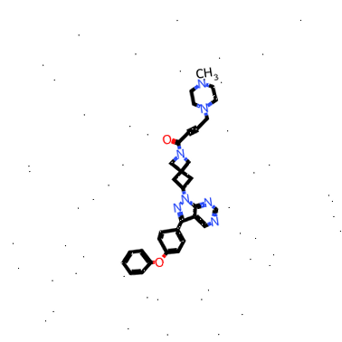 CN1CCN(CC#CC(=O)N2CC3(CC(n4nc(-c5ccc(Oc6ccccc6)cc5)c5cncnc54)C3)C2)CC1